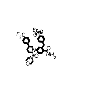 CCS(=O)(=O)c1ccc(Cc2cc(N3CC(c4ccc(C(F)(F)F)cc4)CC[C@H]3C(=O)N3CCOCC3)ccc2C(N)=O)cc1